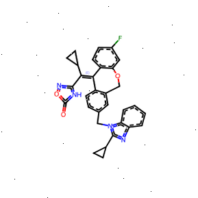 O=c1[nH]c(/C(=C2\c3ccc(Cn4c(C5CC5)nc5ccccc54)cc3COc3cc(F)ccc32)C2CC2)no1